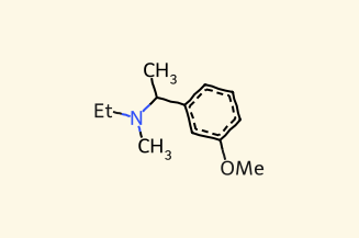 CCN(C)C(C)c1cccc(OC)c1